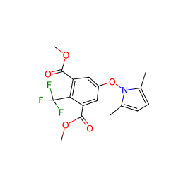 COC(=O)c1cc(On2c(C)ccc2C)cc(C(=O)OC)c1C(F)(F)F